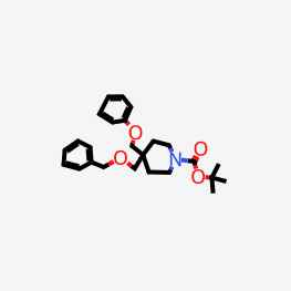 CC(C)(C)OC(=O)N1CCC(COCc2ccccc2)(COc2ccccc2)CC1